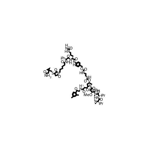 CC[C@H](C)C([C@@H](CC(=O)N1C[C@@H](OC(=O)NCCNC(=O)OCc2ccc(NC(=O)[C@H](CCCNC(N)=O)NC(=O)[C@@H](NC(=O)CCCCCN3C(=O)CC(SCC4(CC(N)=O)CC4)C3=O)C(C)C)cc2)CC1[C@H](OC)[C@@H](C)C(=O)NCC(=O)c1ccc(C)cc1C)OC)N(C)C(=O)[C@@H](NC(=O)[C@H](C(C)C)N(C)C)C(C)C